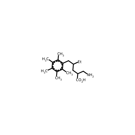 CCC(Cc1c(C)c(C)c(C)c(C)c1C)CC(CN)C(=O)O